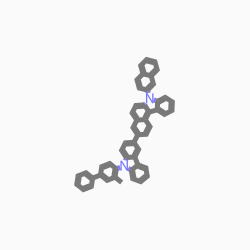 Cc1cc(-c2ccccc2)ccc1-n1c2ccccc2c2cc(-c3ccc4c(ccc5c4c4ccccc4n5-c4ccc5ccccc5c4)c3)ccc21